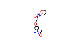 CN(CC1CCCCO1)C(=O)CCCOc1ccc2c(c1)CCC(=O)N2